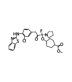 COC(=O)C1CCC(OC(F)(C(=O)Cc2ccc(Nc3nc4ccccc4s3)c(Cl)c2)N2CCCC2)CC1